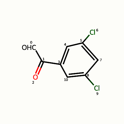 O=CC(=O)c1cc(Cl)cc(Cl)c1